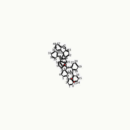 c1ccc(-c2ccc3c4c2N(c2ccccc2)c2ccccc2C4(c2ccccc2)c2cc(N(c4ccccc4)c4cccc5sc6ccccc6c45)ccc2-3)cc1